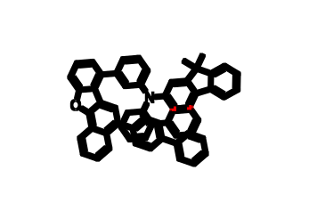 CC1(C)c2ccccc2-c2ccc(N(C3=C(c4ccccc4)C=CCC3)c3cccc(-c4cccc5oc6c7ccccc7c(-c7ccc(-c8ccccc8)cc7)cc6c45)c3)cc21